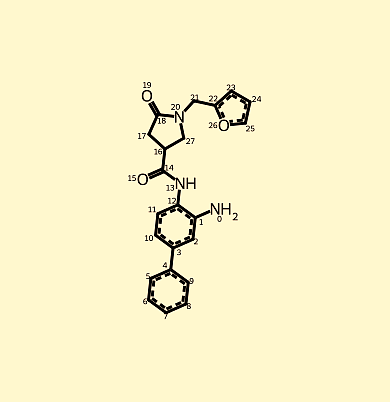 Nc1cc(-c2ccccc2)ccc1NC(=O)C1CC(=O)N(Cc2ccco2)C1